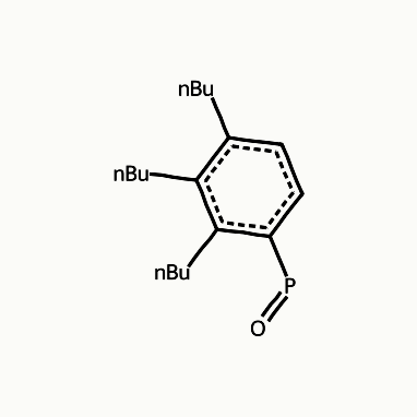 CCCCc1ccc(P=O)c(CCCC)c1CCCC